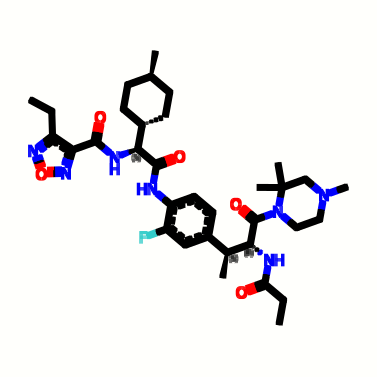 CCC(=O)N[C@@H](C(=O)N1CCN(C)CC1(C)C)[C@@H](C)c1ccc(NC(=O)[C@@H](NC(=O)c2nonc2CC)[C@H]2CC[C@H](C)CC2)c(F)c1